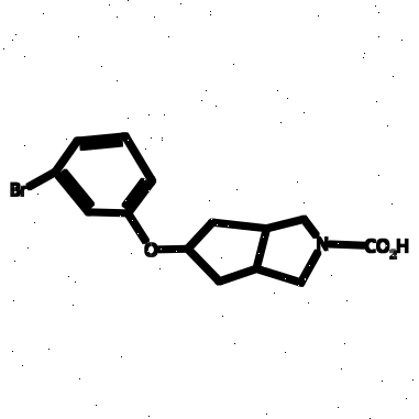 O=C(O)N1CC2CC(Oc3cccc(Br)c3)CC2C1